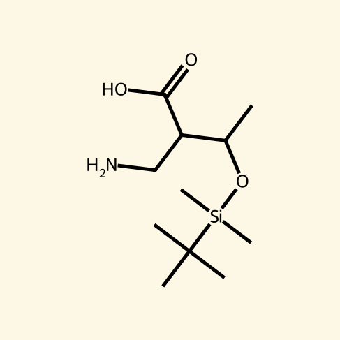 CC(O[Si](C)(C)C(C)(C)C)C(CN)C(=O)O